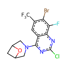 Fc1c(Br)c(C(F)(F)F)cc2c(N3CC4CC(C3)O4)nc(Cl)nc12